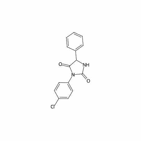 O=C1NC(c2ccccc2)C(=O)N1c1ccc(Cl)cc1